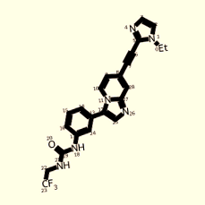 CCn1ccnc1C#Cc1ccn2c(-c3cccc(NC(=O)NCC(F)(F)F)c3)cnc2c1